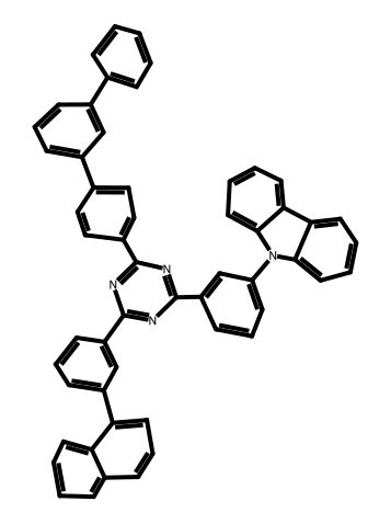 c1ccc(-c2cccc(-c3ccc(-c4nc(-c5cccc(-c6cccc7ccccc67)c5)nc(-c5cccc(-n6c7ccccc7c7ccccc76)c5)n4)cc3)c2)cc1